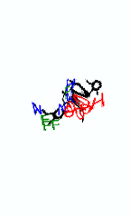 CCOC(=O)C[C@](O)(NC(=O)C(CC(C)(C)C)n1cc(CCN(C)C)c(C(F)(F)F)cc1=O)c1cc(-c2c(C)cccc2C)cc(C)c1F